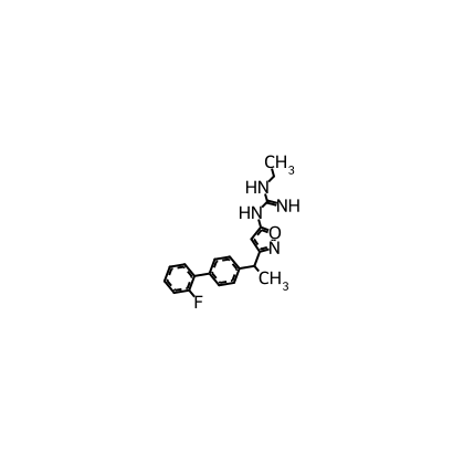 CCNC(=N)Nc1cc(C(C)c2ccc(-c3ccccc3F)cc2)no1